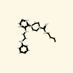 CCCCOC(=O)N1CCN(c2nccnc2SCCOc2ccccc2)CC1